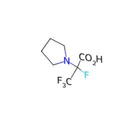 O=C(O)C(F)(N1CCCC1)C(F)(F)F